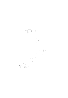 [Nb+5].[O-2].[O-2].[Ti+4].[Ti+4]